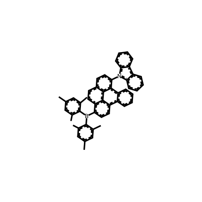 Cc1cc(C)c(B(c2c(C)cc(C)cc2C)c2ccc3c4ccccc4c4c(-n5c6ccccc6c6ccccc65)ccc5ccc2c3c54)c(C)c1